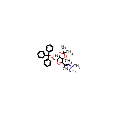 CN(C)C=C(C#N)C1O[C@H](COC(c2ccccc2)(c2ccccc2)c2ccccc2)[C@H]2OC(C)(C)O[C@@]12C